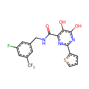 O=C(NCc1cc(F)cc(C(F)(F)F)c1)c1nc(-c2cccs2)nc(O)c1O